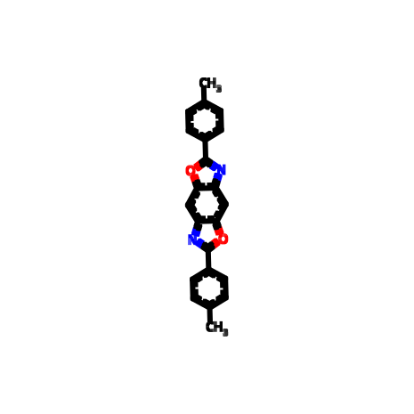 Cc1ccc(-c2nc3cc4oc(-c5ccc(C)cc5)nc4cc3o2)cc1